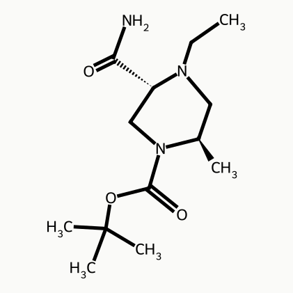 CCN1C[C@@H](C)N(C(=O)OC(C)(C)C)C[C@@H]1C(N)=O